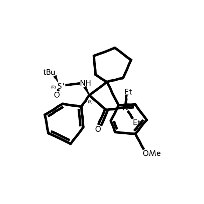 CCN(CC)C(=O)[C@](N[S@@+]([O-])C(C)(C)C)(c1ccccc1)C1(c2ccc(OC)cc2)CCCCC1